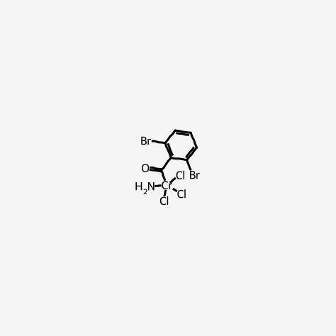 [NH2][Cr]([Cl])([Cl])([Cl])[C](=O)c1c(Br)cccc1Br